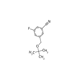 CC(C)(C)OCc1cc(F)cc(C#N)c1